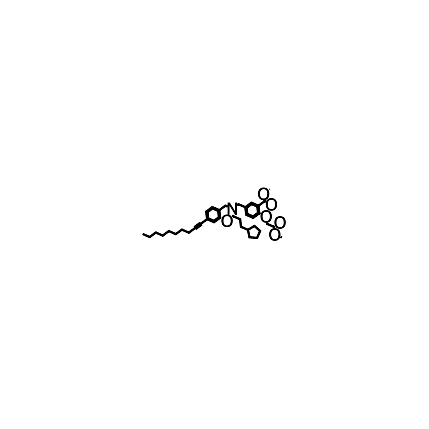 CCCCCCCCC#Cc1ccc(CN(Cc2ccc(OCC(=O)OC)c(C(=O)OC)c2)C(=O)CCC2CCCC2)cc1